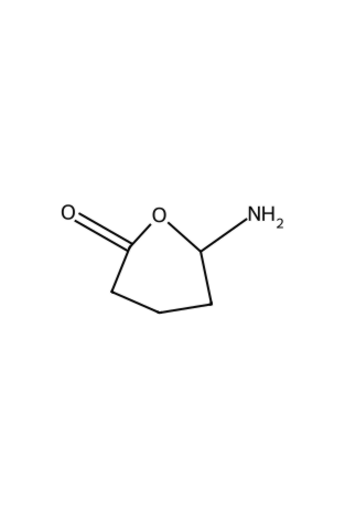 NC1CCCC(=O)O1